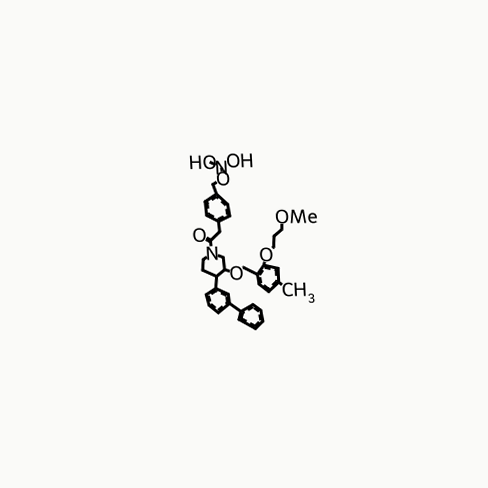 COCCCOc1cc(C)ccc1COC1CN(C(=O)Cc2ccc(CON(O)O)cc2)CCC1c1cccc(-c2ccccc2)c1